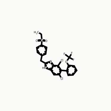 CCS(=O)(=O)c1ccc(Cc2nc3c(Cl)c(-c4ccccc4OC(F)(F)F)c(Cl)cc3[nH]2)cc1